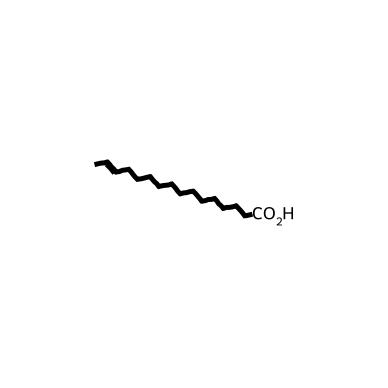 CC=CCCCCCCCCCCCCC(=O)O